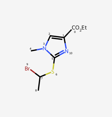 CCOC(=O)c1cn(C)c(SC(C)Br)n1